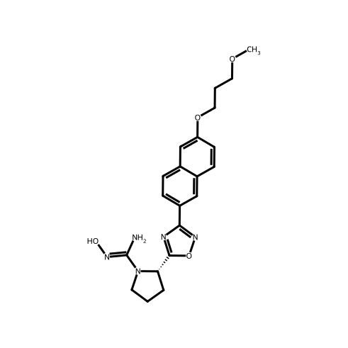 COCCCOc1ccc2cc(-c3noc([C@@H]4CCCN4/C(N)=N/O)n3)ccc2c1